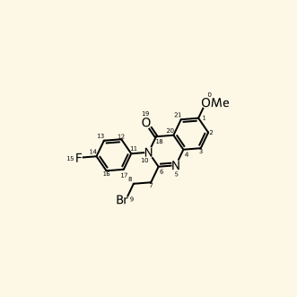 COc1ccc2nc(CCBr)n(-c3ccc(F)cc3)c(=O)c2c1